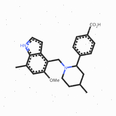 COc1cc(C)c2[nH]ccc2c1CN1CCC(C)CC1c1ccc(C(=O)O)cc1